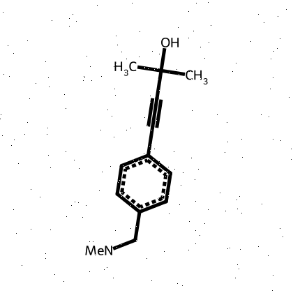 CNCc1ccc(C#CC(C)(C)O)cc1